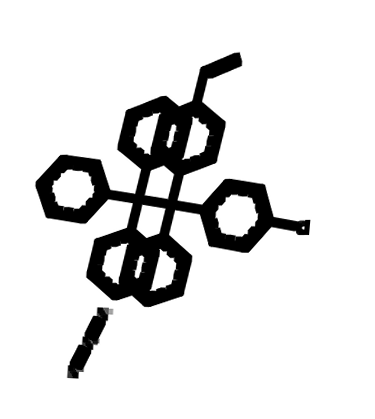 C=Cc1ccc(C(c2ccccc2)(c2ccc(Cl)cc2)C(c2ccccc2)(c2ccccc2)c2ccccc2)cc1.[N-]=[N+]=[N-]